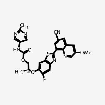 COc1cnc2c(-c3nc4cc(F)c(O[C@@H](C)COC(=O)Nc5cnc(C)nc5)cc4s3)cc(C#N)cc2c1